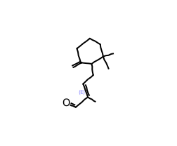 C=C1CCCC(C)(C)C1C/C=C(\C)C=O